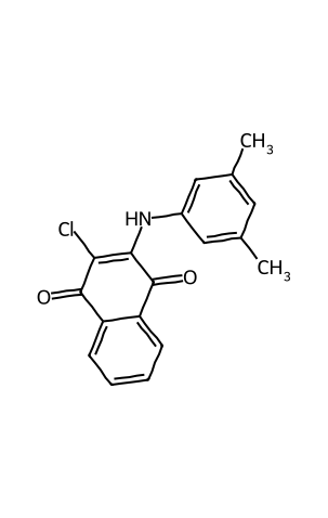 Cc1cc(C)cc(NC2=C(Cl)C(=O)c3ccccc3C2=O)c1